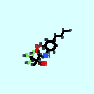 CCCCc1ccc(NC(=O)C(C)(O)C(F)(F)F)c(Br)c1